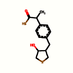 CC(C(=O)S)c1ccc(CC2CSCC2O)cc1